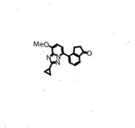 COc1ccc(-c2cccc3c2CCC3=O)n2nc(C3CC3)nc12